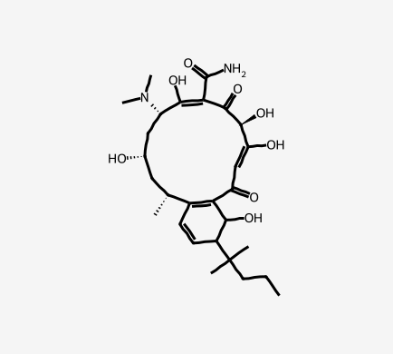 CCCC(C)(C)C1C=CC2=C(C(=O)/C=C(\O)[C@H](O)C(=O)/C(C(N)=O)=C(/O)[C@@H](N(C)C)C[C@@H](O)C[C@H]2C)C1O